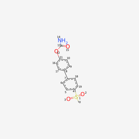 CS(=O)(=O)c1ccc(-c2ccc(OC(N)=O)cc2)cc1